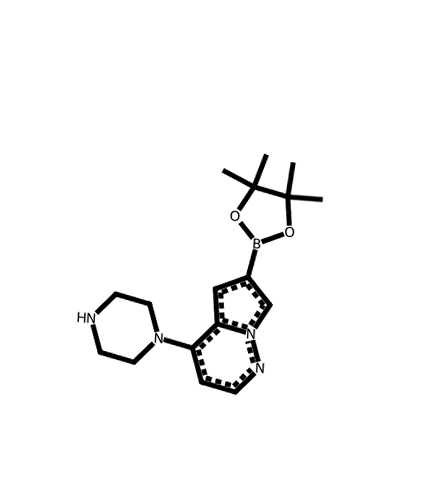 CC1(C)OB(c2cc3c(N4CCNCC4)ccnn3c2)OC1(C)C